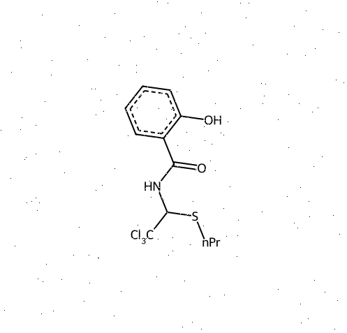 CCCSC(NC(=O)c1ccccc1O)C(Cl)(Cl)Cl